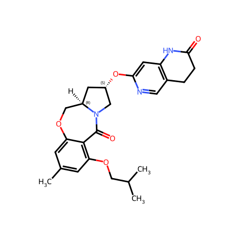 Cc1cc(OCC(C)C)c2c(c1)OC[C@H]1C[C@H](Oc3cc4c(cn3)CCC(=O)N4)CN1C2=O